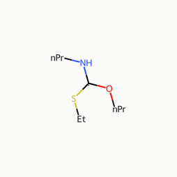 CCCN[C](OCCC)SCC